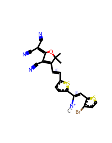 [C-]#[N+]/C(=C\c1sccc1Br)c1ccc(/C=C/C2=C(C#N)C(=C(C#N)C#N)OC2(C)C)s1